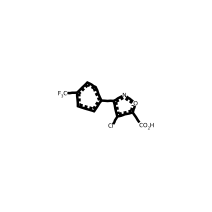 O=C(O)c1onc(-c2ccc(C(F)(F)F)cc2)c1Cl